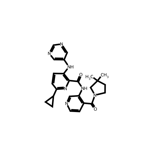 CC1(C)CCN(C(=O)c2ccncc2NC(=O)c2nc(C3CC3)ccc2Nc2cncnc2)C1